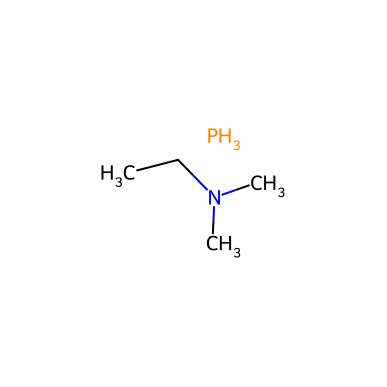 CCN(C)C.P